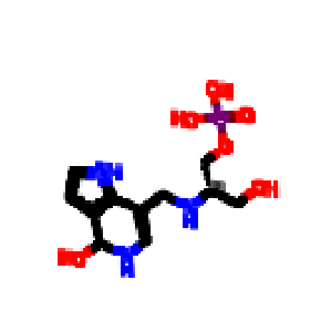 O=P(O)(O)OC[C@H](CO)NCC1=CNC(O)c2cc[nH]c21